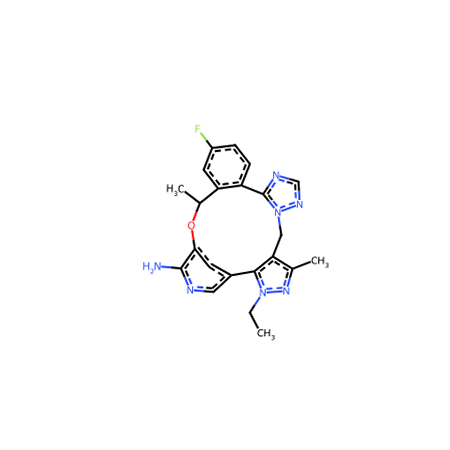 CCn1nc(C)c2c1-c1cnc(N)c(c1)OC(C)c1cc(F)ccc1-c1ncnn1C2